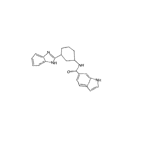 O=C(NC1CCCC(c2nc3ccccc3[nH]2)C1)c1ccc2cc[nH]c2c1